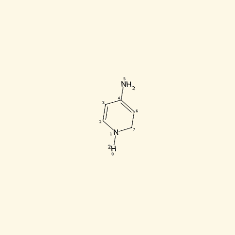 [2H]N1C=CC(N)=CC1